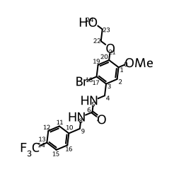 COc1cc(CNC(=O)NCc2ccc(C(F)(F)F)cc2)c(Br)cc1OCCO